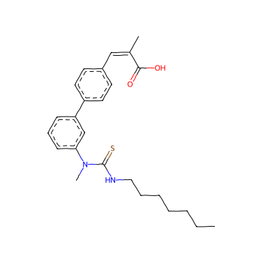 CCCCCCCNC(=S)N(C)c1cccc(-c2ccc(C=C(C)C(=O)O)cc2)c1